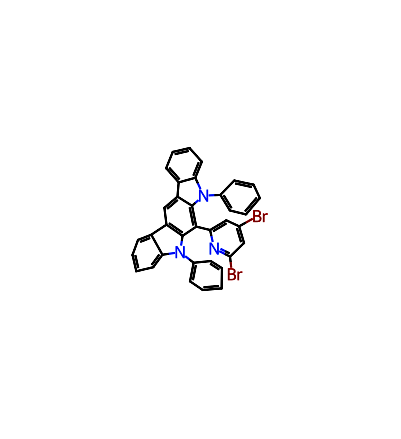 Brc1cc(Br)nc(-c2c3c(cc4c5ccccc5n(-c5ccccc5)c24)c2ccccc2n3-c2ccccc2)c1